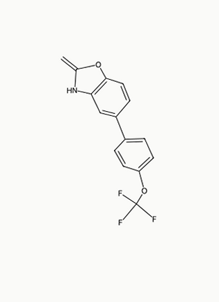 C=C1Nc2cc(-c3ccc(OC(F)(F)F)cc3)ccc2O1